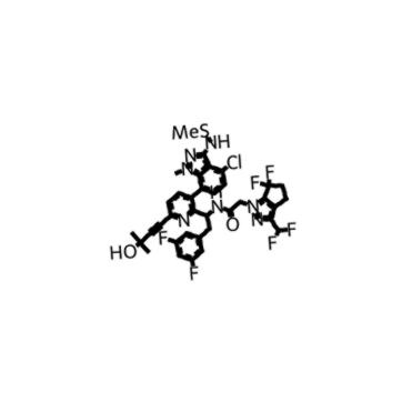 CSNc1nn(C)c2c(-c3ccc(C#CC(C)(C)O)nc3C(Cc3cc(F)cc(F)c3)NC(=O)Cn3nc(C(F)F)c4c3C(F)(F)CC4)ccc(Cl)c12